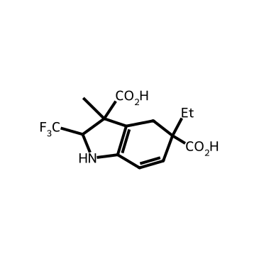 CCC1(C(=O)O)C=CC2=C(C1)C(C)(C(=O)O)C(C(F)(F)F)N2